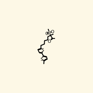 CC(=O)C(C)(CCCCCc1ccc(-c2ccc(C)s2)s1)S(C)(=O)=O